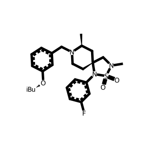 CC[C@@H](C)Oc1cccc(CN2CC[C@@]3(C[C@@H]2C)CN(C)S(=O)(=O)N3c2cccc(F)c2)c1